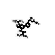 CC(C)n1ncc2c(NC(=O)N(C)C)cc(-c3cccc(CN(C)CCN)c3)nc21